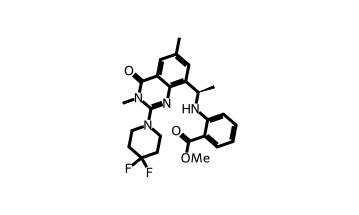 COC(=O)c1ccccc1N[C@H](C)c1cc(C)cc2c(=O)n(C)c(N3CCC(F)(F)CC3)nc12